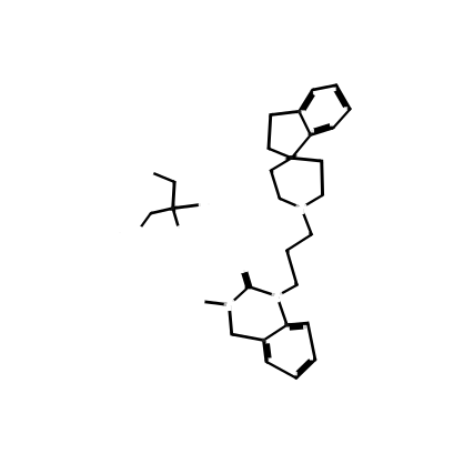 CN1Cc2ccccc2N(CCCN2CCC3(CCc4ccccc43)CC2)C1=O.O=C(O)CC(O)(CC(=O)O)C(=O)O